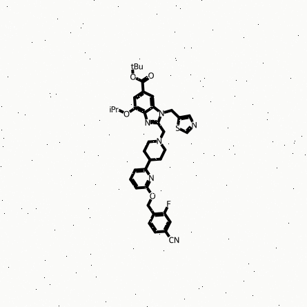 CC(C)Oc1cc(C(=O)OC(C)(C)C)cc2c1nc(CN1CCC(c3cccc(OCc4ccc(C#N)cc4F)n3)CC1)n2Cc1cncs1